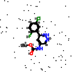 CC(C)(C)OC(=O)NC1=CC(c2cc(Cl)ccc2F)NN=C1